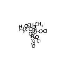 CCOc1cc(C(C)(C)C)ccc1C1=N[C@@H](c2ccc(Cl)cc2)[C@@H](c2ccc(Cl)cc2)N1C(=O)N1CCC(N2CCOCC2)CC1